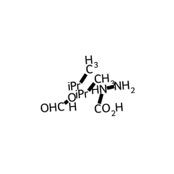 CC(C)C.CC(C)C.NNC(=O)O.O=CO